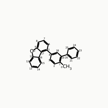 Cc1ccc(-c2cccc3oc4ccccc4c23)cc1-c1ccccc1